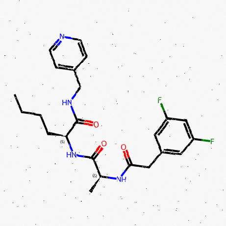 CCCC[C@H](NC(=O)[C@H](C)NC(=O)Cc1cc(F)cc(F)c1)C(=O)NCc1ccncc1